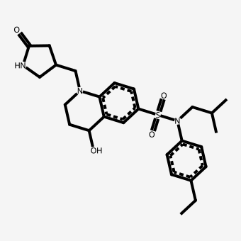 CCc1ccc(N(CC(C)C)S(=O)(=O)c2ccc3c(c2)C(O)CCN3CC2CNC(=O)C2)cc1